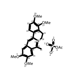 CC(=O)OS(=O)(=O)[O-].COc1cc2cc3[n+](c(C)c2cc1OC)CCc1c-3ccc(OC)c1OC